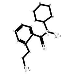 CC[CH]c1ccccc1C(=O)N(C)C1CCCCC1